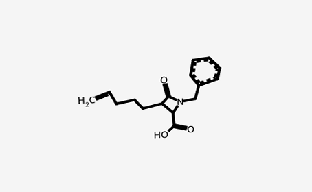 C=CCCCC1C(=O)N(Cc2ccccc2)C1C(=O)O